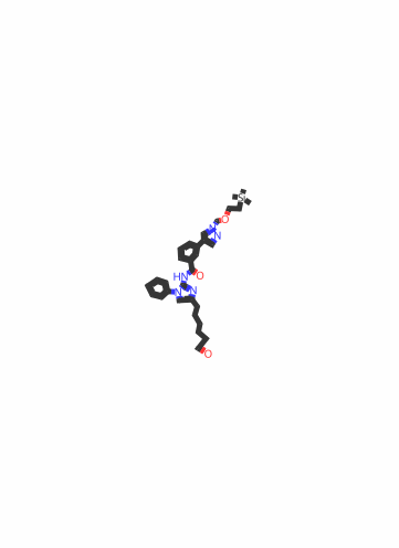 C[Si](C)(C)CCOCn1cc(-c2cccc(C(=O)Nc3nc(CCCCCC=O)cn3-c3ccccc3)c2)cn1